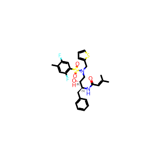 CC(C)=CC(=O)N[C@@H](Cc1ccccc1)[C@H](O)CN(Cc1cccs1)S(=O)(=O)c1cc(F)c(C)cc1F